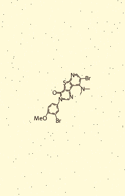 COc1ccc(-n2cnc3c(sc4ncc(Br)c(N(C)C)c43)c2=O)cc1Br